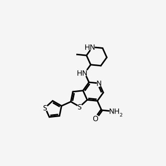 CC1NCCCC1Nc1ncc(C(N)=O)c2sc(-c3ccsc3)cc12